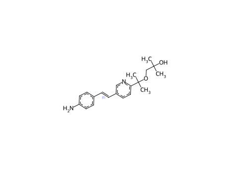 CC(C)(O)COC(C)(C)c1ccc(/C=C/c2ccc(N)cc2)cn1